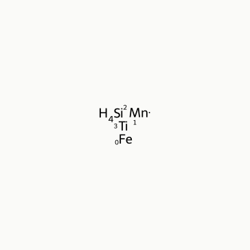 [Fe].[Mn].[SiH4].[Ti]